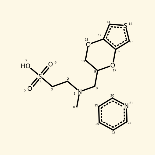 CN(CCS(=O)(=O)O)CC1COc2cscc2O1.c1ccncc1